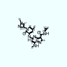 CNc1cc(Nc2cc(F)cn(-c3cnn(C)c3)c2=O)nc2c(C(=O)NC3CC3)cnn12